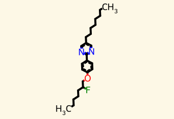 CCCCCCCCc1cnc(-c2ccc(OCC(F)CCCCC)cc2)nc1